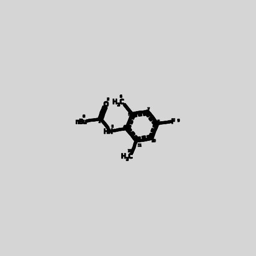 CCCCC(=O)Nc1c(C)cc(F)cc1C